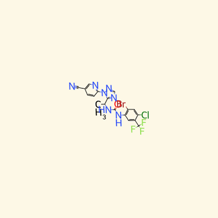 CC(NC(=O)Nc1cc(C(F)(F)F)c(Cl)cc1Br)c1ncnn1-c1ccc(C#N)cn1